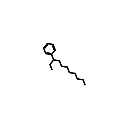 CCCCCCCCC(CC)c1ccccc1